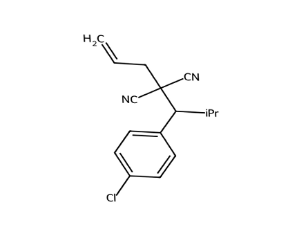 C=CCC(C#N)(C#N)C(c1ccc(Cl)cc1)C(C)C